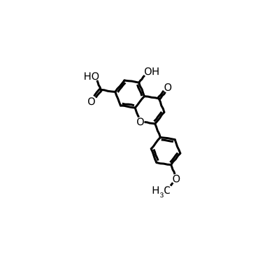 COc1ccc(-c2cc(=O)c3c(O)cc(C(=O)O)cc3o2)cc1